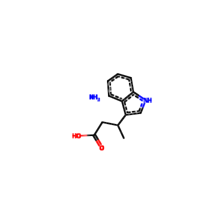 CC(CC(=O)O)c1c[nH]c2ccccc12.N